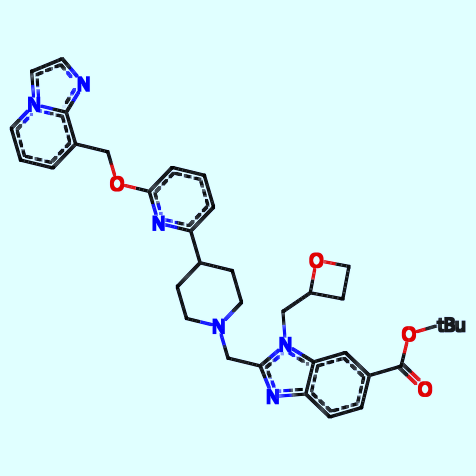 CC(C)(C)OC(=O)c1ccc2nc(CN3CCC(c4cccc(OCc5cccn6ccnc56)n4)CC3)n(CC3CCO3)c2c1